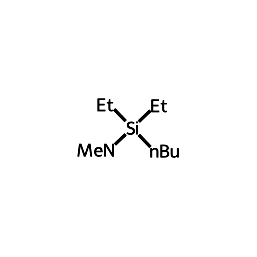 CCCC[Si](CC)(CC)NC